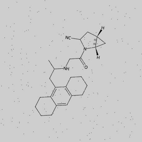 CC(Cc1c2c(cc3c1CCCC3)CCCC2)NCC(=O)N1C(C#N)C[C@@H]2C[C@@H]21